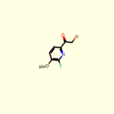 COc1ccc(C(=O)CBr)nc1F